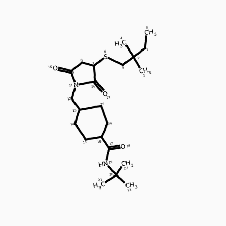 CCC(C)(C)CSC1CC(=O)N(CC2CCC(C(=O)NC(C)(C)C)CC2)C1=O